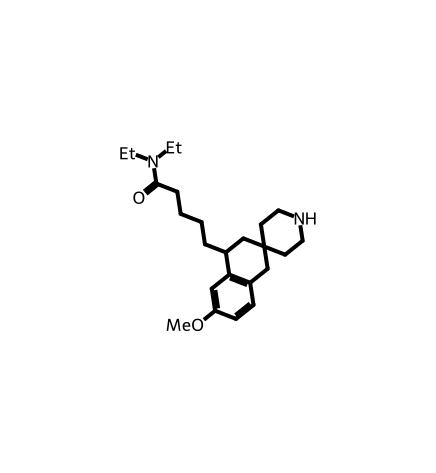 CCN(CC)C(=O)CCCCC1CC2(CCNCC2)Cc2ccc(OC)cc21